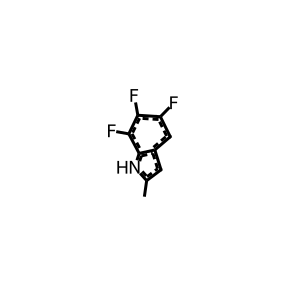 Cc1cc2cc(F)c(F)c(F)c2[nH]1